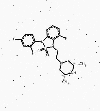 C[C@@H]1CN(CCN2c3c(F)cccc3N(c3ccc(F)cc3F)S2(=O)=O)C[C@H](C)N1